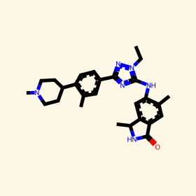 CCn1nc(-c2ccc(C3CCN(C)CC3)c(C)c2)nc1Nc1cc2c(cc1C)C(=O)NC2C